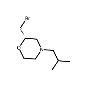 C[C](C)CN1CCO[C@H](CBr)C1